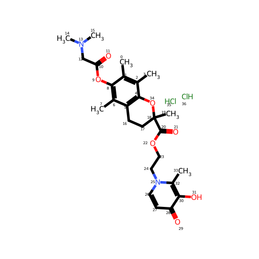 Cc1c(C)c2c(c(C)c1OC(=O)CN(C)C)CCC(C)(C(=O)OCCn1ccc(=O)c(O)c1C)O2.Cl.Cl